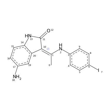 C/C(Nc1ccc(I)cc1)=C1/C(=O)Nc2ccc(N)cc21